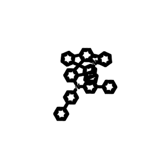 c1ccc(-c2ccc(N(c3ccc(-c4ccccc4)cc3)c3cccc4c3-c3ccccc3C43c4ccccc4-c4ccc5c6ccccc6n(-c6ccccc6)c5c43)cc2)cc1